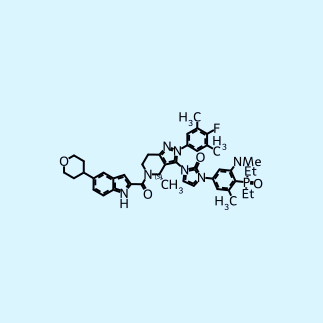 CCP(=O)(CC)c1c(C)cc(-n2ccn(-c3c4c(nn3-c3cc(C)c(F)c(C)c3)CCN(C(=O)c3cc5cc(C6CCOCC6)ccc5[nH]3)[C@H]4C)c2=O)cc1NC